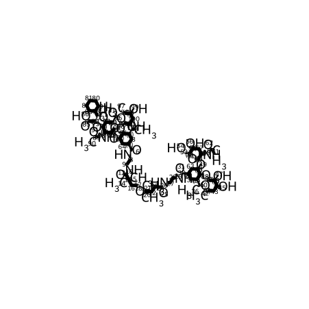 CC[C@H]1C[C@@H](C(=O)NCCNC(=O)C(C)(C)CCOC(C)(C)CCC(=O)NCCNC(=O)[C@@H]2C[C@H](CC)[C@@H](O[C@@H]3O[C@@H](C)C[C@@H](O)[C@@H]3O)[C@H](O[C@@H]3O[C@H](CO)[C@H](O)C[C@H]3NC(C)=O)C2)C[C@@H](O[C@@H]2O[C@H](CO)[C@H](O)[C@H](O[C@@H](CC3CCCCC3)C(=O)O)[C@H]2NC(C)=O)[C@@H]1O[C@@H]1O[C@@H](C)[C@@H](O)C[C@@H]1O